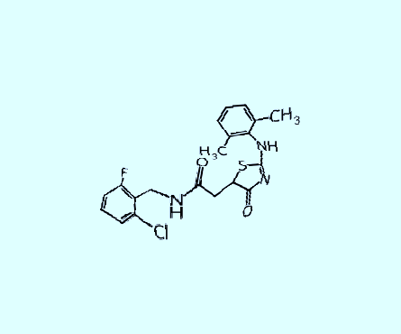 Cc1cccc(C)c1NC1=NC(=O)C(CC(=O)NCc2c(F)cccc2Cl)S1